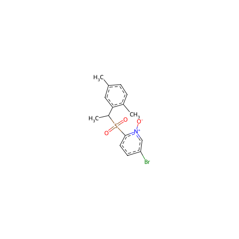 Cc1ccc(C)c(C(C)S(=O)(=O)c2ccc(Br)c[n+]2[O-])c1